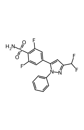 NS(=O)(=O)c1c(F)cc(-c2cc(C(F)F)nn2-c2ccccc2)cc1F